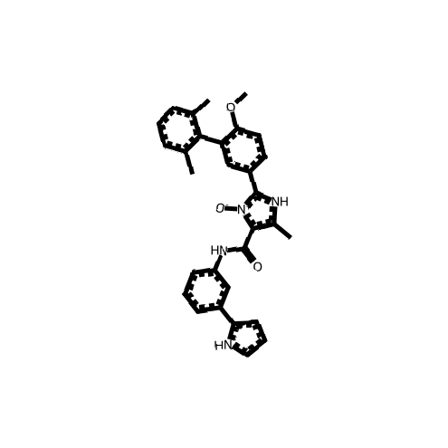 COc1ccc(-c2[nH]c(C)c(C(=O)Nc3cccc(-c4ccc[nH]4)c3)[n+]2[O-])cc1-c1c(C)cccc1C